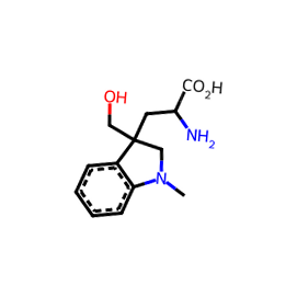 CN1CC(CO)(CC(N)C(=O)O)c2ccccc21